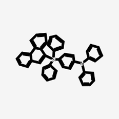 c1ccc(N(c2ccccc2)c2ccc([Si](c3ccccc3)(c3ccccc3)c3cc4ccccc4c4ccccc34)cc2)cc1